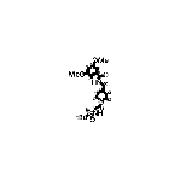 COc1cc(OC)cc(C(=O)NCC2CCN(CCNS(=O)(=O)C(C)(C)C)CC2)c1